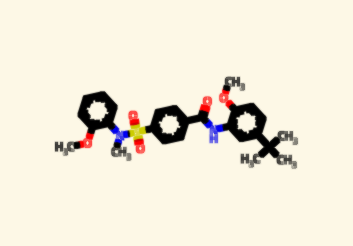 COc1ccc(C(C)(C)C)cc1NC(=O)c1ccc(S(=O)(=O)N(C)c2ccccc2OC)cc1